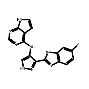 Clc1ccc2nc(-c3n[nH]cc3Nc3ncnc4[nH]ccc34)[nH]c2c1